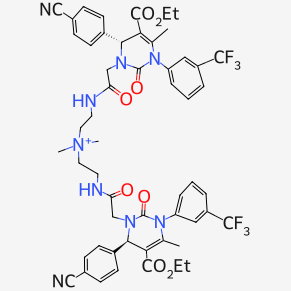 CCOC(=O)C1=C(C)N(c2cccc(C(F)(F)F)c2)C(=O)N(CC(=O)NCC[N+](C)(C)CCNC(=O)CN2C(=O)N(c3cccc(C(F)(F)F)c3)C(C)=C(C(=O)OCC)[C@H]2c2ccc(C#N)cc2)[C@@H]1c1ccc(C#N)cc1